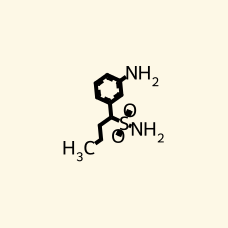 CCCC(c1cccc(N)c1)S(N)(=O)=O